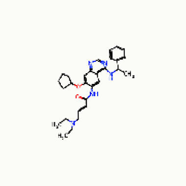 CCN(CC)CC=CC(=O)Nc1cc2c(N[C@H](C)c3ccccc3)ncnc2cc1OC1CCCC1